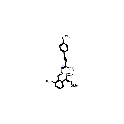 CO/N=C(/C(=O)O)c1cccc(C)c1CO/N=C(\C)C#Cc1ccc(OC(F)(F)F)cc1